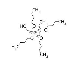 CCCCO[C@@H]([C@H](OCCCC)[C@@H](CO)OCCCC)[C@@H](CC)OCCCC